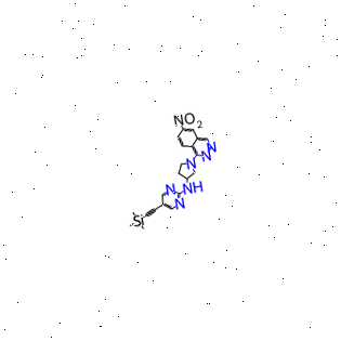 C[Si](C)(C)C#Cc1cnc(NC2CCN(c3nncc4cc([N+](=O)[O-])ccc34)C2)nc1